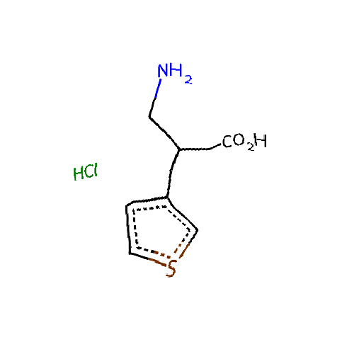 Cl.NCC(C(=O)O)c1ccsc1